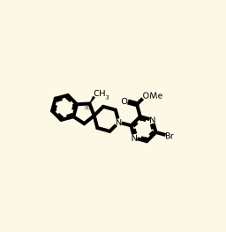 COC(=O)c1nc(Br)cnc1N1CCC2(CC1)Cc1ccccc1[C@H]2C